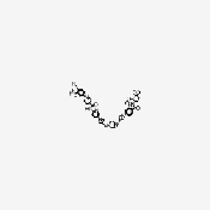 N#Cc1ccc(N2CCC(C(=O)Nc3ccc(N4CC(CN5CCN(C[C@H]6CCN(c7ccc8c(c7)C(=O)N(C7CCC(=O)NC7=O)C8=O)C6)CC5)C4)cn3)CC2)cc1C(F)(F)F